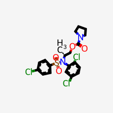 C[C@H](COC(=O)N1CCCC1)N(c1cc(Cl)ccc1Cl)S(=O)(=O)c1ccc(Cl)cc1